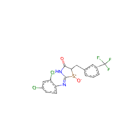 O=C1NC(=Nc2ccc(Cl)cc2Cl)[S+]([O-])C1Cc1cccc(C(F)(F)F)c1